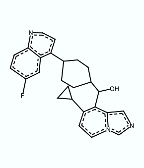 OC(c1c(C2CC2)ccn2cncc12)C1CCC(c2ccnc3ccc(F)cc23)CC1